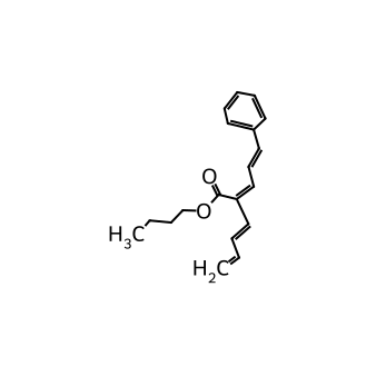 C=CC=CC(=CC=Cc1ccccc1)C(=O)OCCCC